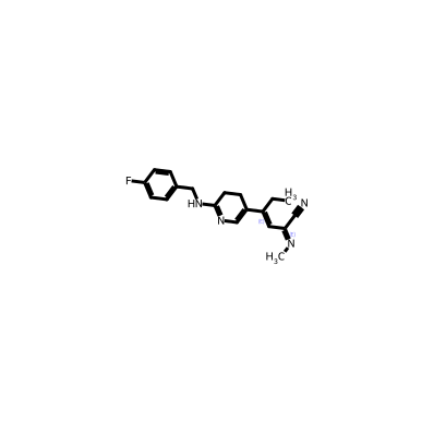 CC/C(=C\C(C#N)=N/C)C1=CN=C(NCc2ccc(F)cc2)CC1